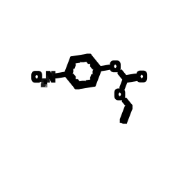 C=COC(=O)Oc1ccc([N+](=O)[O-])cc1